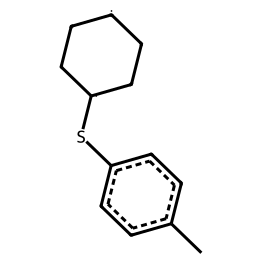 Cc1ccc(S[C]2CC[CH]CC2)cc1